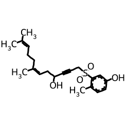 CC(C)=CCCC(C)=CCC(O)C#CCS(=O)(=O)c1cc(O)ccc1C